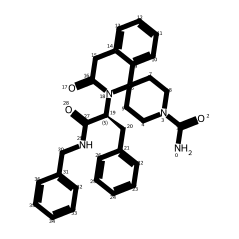 NC(=O)N1CCC2(CC1)c1ccccc1CC(=O)N2[C@@H](Cc1ccccc1)C(=O)NCc1ccccc1